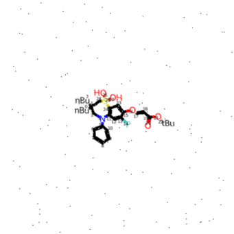 CCCCC1(CCCC)CN(c2ccccc2)c2cc(F)c(O/C=C/C(=O)OC(C)(C)C)cc2S(O)(O)C1